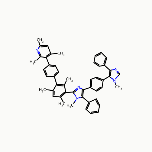 Cc1cc(C)c(-c2ccc(-c3c(C)cc(C)c(-c4nc(-c5ccc(-c6c(-c7ccccc7)ncn6C)cc5)c(-c5ccccc5)n4C)c3C)cc2)c(C)n1